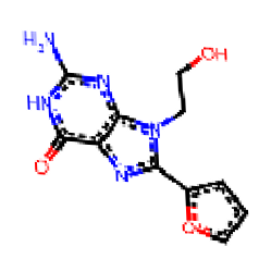 Nc1nc2c(nc(-c3ccco3)n2CCO)c(=O)[nH]1